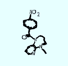 CN1CCCN(C(=O)c2ccc([N+](=O)[O-])cc2)c2cccnc21